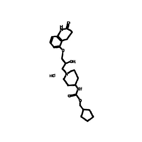 Cl.O=C1CCc2c(cccc2OCC(O)CN2CCC(NC(=O)OCC3CCCC3)CC2)N1